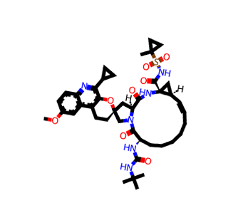 COc1ccc2nc(C3CC3)c3c(c2c1)CC[C@]1(C[C@H]2C(=O)N[C@]4(C(=O)NS(=O)(=O)C5(C)CC5)C[C@H]4C=CCCCCC[C@H](NC(=O)NC(C)(C)C)C(=O)N2C1)O3